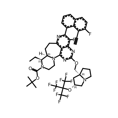 C#Cc1c(F)ccc2cccc(-c3nc4c5c(nc(OC[C@]67CCCN6C[C@H](OC(C(F)(F)F)(C(F)(F)F)C(F)(F)F)C7)nc5c3F)N3CCN(C(=O)OC(C)(C)C)[C@@H](CC)[C@H]3CC4)c12